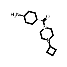 N[C@H]1CC[C@H](C(=O)N2CCN(C3CCC3)CC2)CC1